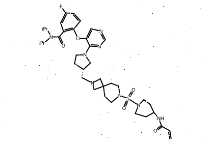 C=CC(=O)NC1CCN(S(=O)(=O)N2CCC3(CC2)CN(C[C@@H]2CCN(c4ncncc4Oc4ccc(F)cc4C(=O)N(C(C)C)C(C)C)C2)C3)CC1